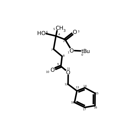 CC(C)(C)OC(=O)C(C)(O)CCC(=O)OCc1ccccc1